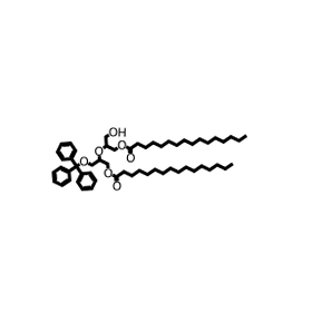 CCCCCCCCCCCCCCCC(=O)OCC(CO)OC(COC(=O)CCCCCCCCCCCCCCC)COC(c1ccccc1)(c1ccccc1)c1ccccc1